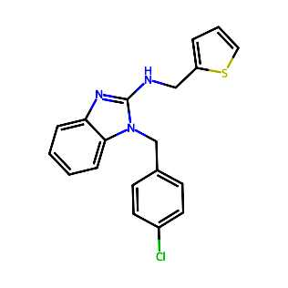 Clc1ccc(Cn2c(NCc3cccs3)nc3ccccc32)cc1